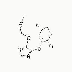 CC#CCOc1nsnc1O[C@@H]1C[C@H]2CC[C@@H]1C2